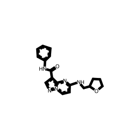 O=C(Nc1ccccc1)c1cnn2ccc(NCC3CCCO3)nc12